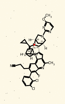 COc1ccnc(N2C[C@@H]3C[C@H](C2)N(C(=O)C2CC2)[C@H]3c2cc3c(C)nc4c(F)c(-c5cccc(Cl)c5Cl)c(CCC#N)cc4c3n2[C@H]2[C@H]3CN[C@@H]2C3)n1